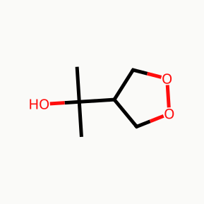 CC(C)(O)C1COOC1